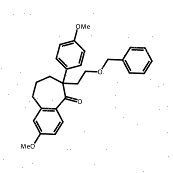 COc1ccc(C2(CCOCc3ccccc3)CCCc3cc(OC)ccc3C2=O)cc1